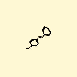 COc1ccc(/N=N/c2ccccc2)cc1